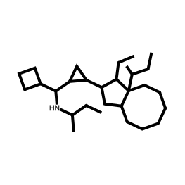 CCC(C)NC(C1CCC1)C1CC1C1CC2CCCCCCC2(C(C)CC)C1CC